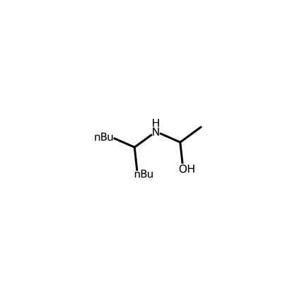 CCCCC(CCCC)NC(C)O